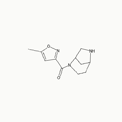 Cc1cc(C(=O)N2CCC3CC2CN3)no1